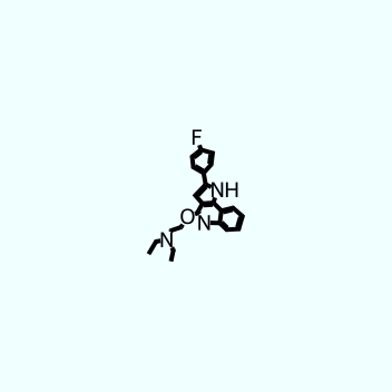 CCN(CC)CCOc1nc2ccccc2c2[nH]c(-c3ccc(F)cc3)cc12